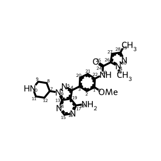 COc1cc(-c2nn(C3CCNCC3)c3ncnc(N)c23)ccc1NC(=O)c1cc(C)nn1C